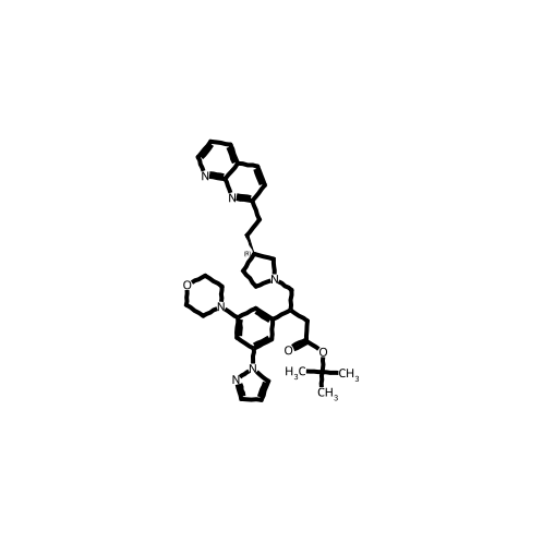 CC(C)(C)OC(=O)CC(CN1CC[C@@H](CCc2ccc3cccnc3n2)C1)c1cc(N2CCOCC2)cc(-n2cccn2)c1